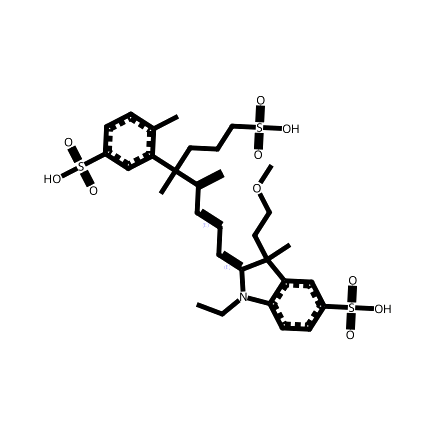 C=C(/C=C/C=C1/N(CC)c2ccc(S(=O)(=O)O)cc2C1(C)CCOC)C(C)(CCCS(=O)(=O)O)c1cc(S(=O)(=O)O)ccc1C